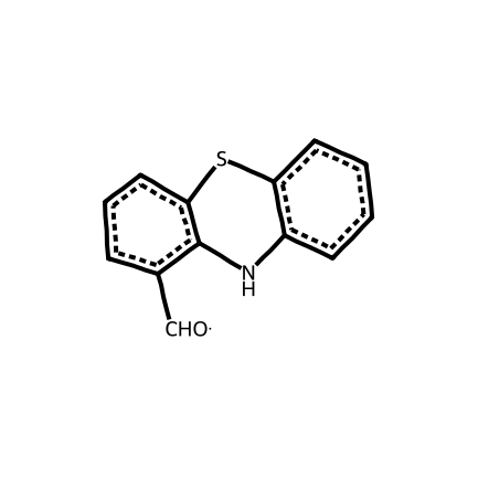 O=[C]c1cccc2c1Nc1ccccc1S2